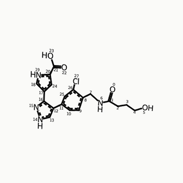 O=C(CCCO)NCc1ccc(-c2c[nH]nc2-c2c[nH]c(C(=O)O)c2)cc1Cl